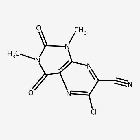 Cn1c(=O)c2nc(Cl)c(C#N)nc2n(C)c1=O